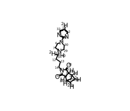 [2H]c1cnc(N2CCN(C([2H])([2H])CCCN3C(=O)[C@@H]4[C@H](C3=O)[C@H]3C[C@@H]4C([2H])C3[2H])CC2)nc1